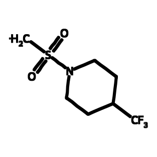 [CH2]S(=O)(=O)N1CCC(C(F)(F)F)CC1